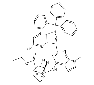 CCOC(=O)[C@@H]1C2CCC(CC2)[C@H]1Nc1nc(-c2cn(C(c3ccccc3)(c3ccccc3)c3ccccc3)c3ncc(Cl)nc23)nc2c1ccn2C